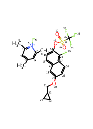 Cc1cc(C)[n+](F)c(C)c1.O=S(=O)(Oc1ccc2cc(OCC3CC3)ccc2c1F)C(F)(F)F